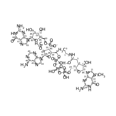 CCNC(=O)CC1[C@@H](O)[C@H](n2c[n+](C)c3c(=O)[nH]c(N)nc32)O[C@@H]1COP(=O)(O)OP(=O)(O)OP(=O)(O)OC[C@H]1O[C@@H](n2cnc3c(N)ncnc32)[C@H](OC)[C@@H]1P(=O)([O-])OC[C@H]1O[C@@H](n2cnc3c(=O)[nH]c(N)nc32)[C@H](O)[C@@H]1O